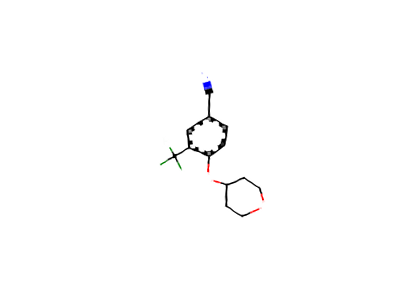 N#Cc1ccc(OC2CCOCC2)c(C(F)(F)F)c1